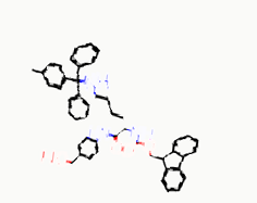 Cc1ccc(C(NCCCC[C@@H](NC(=O)OCC2c3ccccc3-c3ccccc32)C(=O)Nc2ccc(CO)cc2)(c2ccccc2)c2ccccc2)cc1